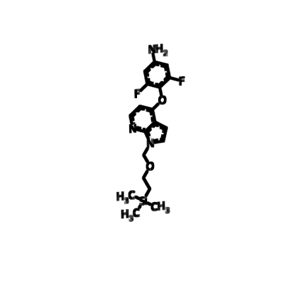 C[Si](C)(C)CCOCn1ccc2c(Oc3c(F)cc(N)cc3F)ccnc21